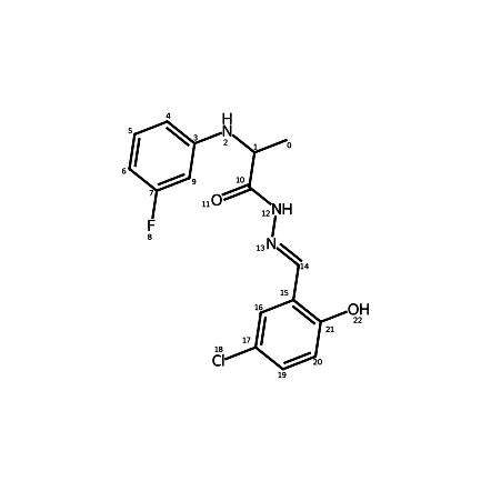 CC(Nc1cccc(F)c1)C(=O)NN=Cc1cc(Cl)ccc1O